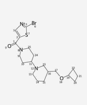 O=C(c1cnc(Br)s1)N1CCC(N2CCCC(COC3CCC3)C2)CC1